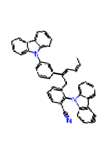 C/C=C\C=C(/Cc1cccc(C#N)c1-n1c2ccc#cc2c2ccccc21)c1cccc(-n2c3ccccc3c3ccccc32)c1